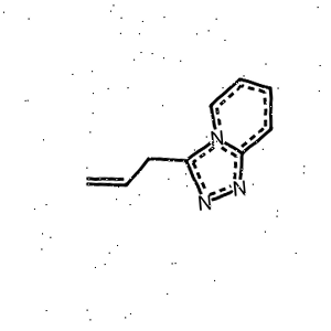 C=CCc1nnc2ccccn12